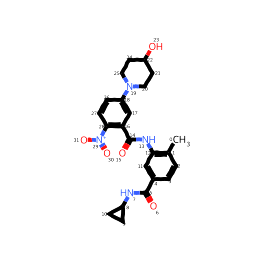 Cc1ccc(C(=O)NC2CC2)cc1NC(=O)c1cc(N2CCC(O)CC2)ccc1[N+](=O)[O-]